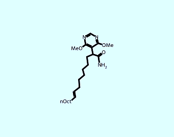 CCCCCCCCC=CCCCCCCC(C(N)=O)c1c(OC)ncnc1OC